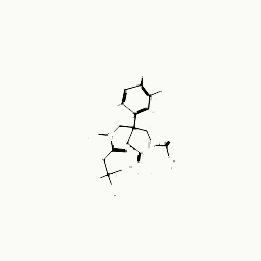 C=CCC(CNC(=O)O)(CN(C)C(=O)CC(F)(F)F)c1ccc(Cl)c(Cl)c1